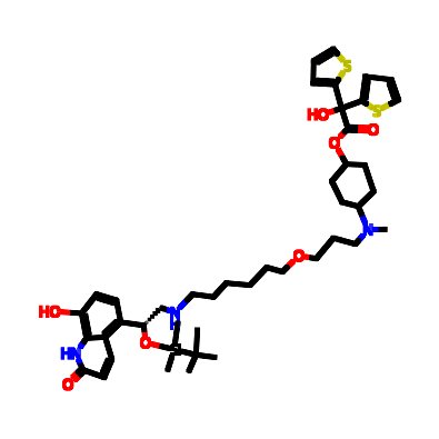 CN(CCCOCCCCCCNC[C@H](O[Si](C)(C)C(C)(C)C)c1ccc(O)c2[nH]c(=O)ccc12)C1CCC(OC(=O)C(O)(c2cccs2)c2cccs2)CC1